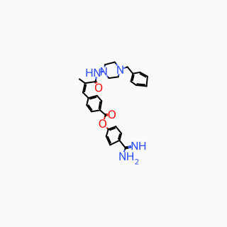 CC(=Cc1ccc(C(=O)Oc2ccc(C(=N)N)cc2)cc1)C(=O)NN1CCN(Cc2ccccc2)CC1